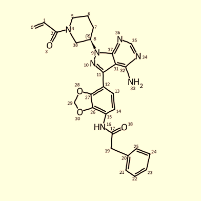 C=CC(=O)N1CCC[C@@H](n2nc(-c3ccc(NC(=O)Cc4ccccc4)c4c3OCO4)c3c(N)ncnc32)C1